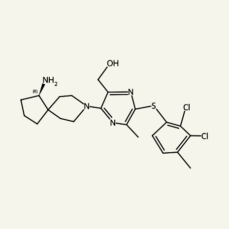 Cc1ccc(Sc2nc(CO)c(N3CCC4(CCC[C@H]4N)CC3)nc2C)c(Cl)c1Cl